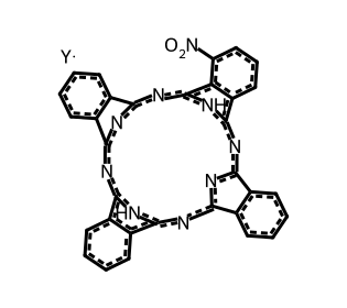 O=[N+]([O-])c1cccc2c3nc4nc(nc5[nH]c(nc6nc(nc([nH]3)c12)-c1ccccc1-6)c1ccccc51)-c1ccccc1-4.[Y]